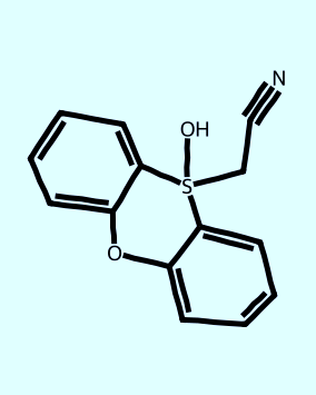 N#CCS1(O)c2ccccc2Oc2ccccc21